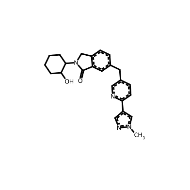 Cn1cc(-c2ccc(Cc3ccc4c(c3)C(=O)N(C3CCCCC3O)C4)cn2)cn1